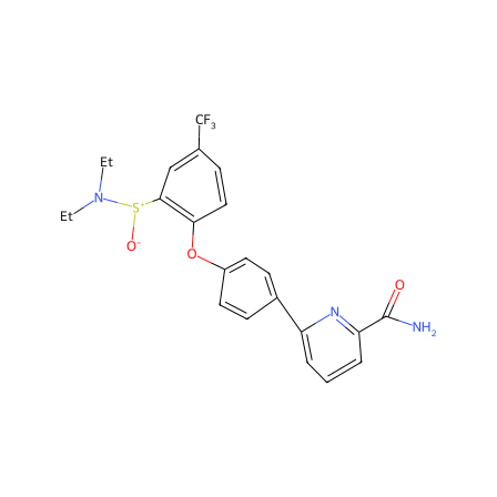 CCN(CC)[S+]([O-])c1cc(C(F)(F)F)ccc1Oc1ccc(-c2cccc(C(N)=O)n2)cc1